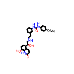 COc1ccc(NC(=O)Nc2cccc(CCNCC(O)c3ccc(O)c4[nH]c(=O)ccc34)c2)cc1